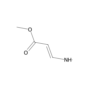 COC(=O)C=C[NH]